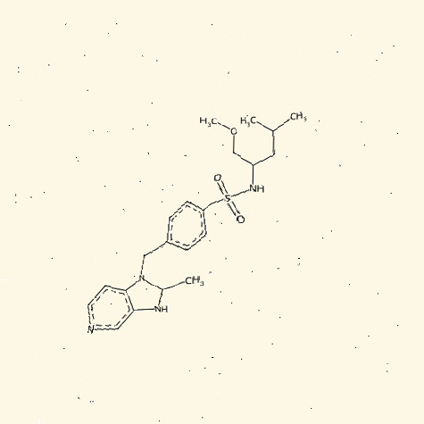 COCC(CC(C)C)NS(=O)(=O)c1ccc(CN2c3ccncc3NC2C)cc1